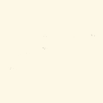 COc1ccc(CNC(=O)CCCC/C=C/C(C)C)cc1C